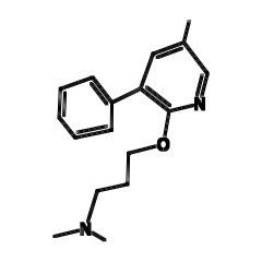 Cc1cnc(OCCCN(C)C)c(-c2ccccc2)c1